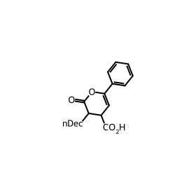 CCCCCCCCCCC1C(=O)OC(c2ccccc2)=CC1C(=O)O